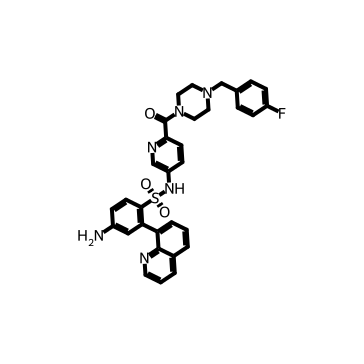 Nc1ccc(S(=O)(=O)Nc2ccc(C(=O)N3CCN(Cc4ccc(F)cc4)CC3)nc2)c(-c2cccc3cccnc23)c1